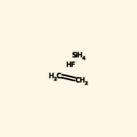 C=C.F.[SiH4]